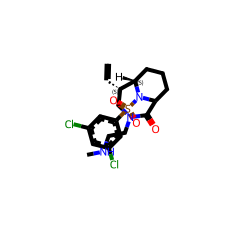 C=C[C@H]1CN(CCNC)C(=O)C2CCC[C@@H]1N2S(=O)(=O)c1cc(Cl)cc(Cl)c1